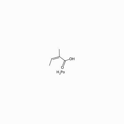 CC=C(C)C(=O)O.[PoH2]